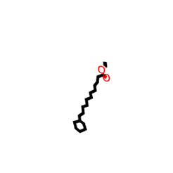 C=COC(=O)CCCCCCCCCCCC1CCCCC1